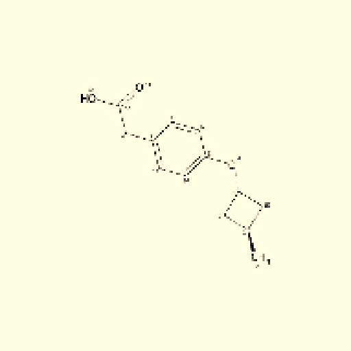 C[C@H]1C[C@H](Oc2ccc(CC(=O)O)cc2)C1